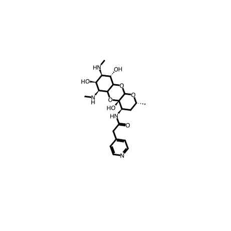 CN[C@@H]1[C@H](O)[C@H](NC)C2O[C@]3(O)C(OC2[C@H]1O)O[C@H](C)C[C@H]3NC(=O)Cc1ccncc1